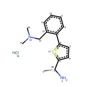 C[C@@H](N)c1ccc(-c2ccccc2CN(C)C)s1.Cl